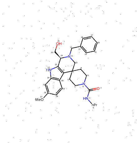 CCCNC(=O)N1CCC2(CC1)CN(Cc1ccccc1)[C@H](CO)c1[nH]c3cc(OC)ccc3c12